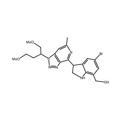 COCCC(COC)n1nnc2c(C3CNc4c(CO)cc(Br)cc43)nc(C)cc21